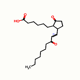 CCCCCCCC(=O)/C=C/C1CCC(=O)C1CCCCCC(=O)O